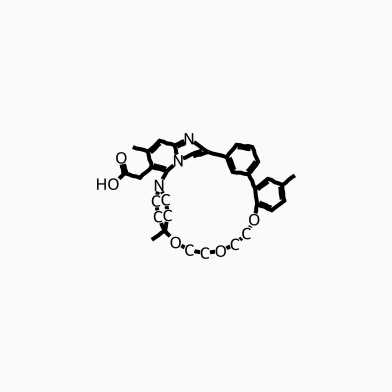 Cc1ccc2c(c1)-c1cccc(c1)-c1cn3c(c(CC(=O)O)c(C)cc3n1)N1CCC(C)(CC1)OCCOCCO2